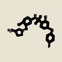 CN1CC[C@@H](Oc2cc(NS(=O)(=O)c3ccc(Sc4ccc(F)cc4)cc3Cl)ccc2Cl)C1